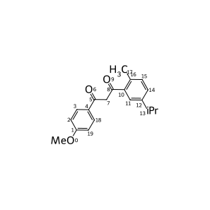 COc1ccc(C(=O)CC(=O)c2cc(C(C)C)ccc2C)cc1